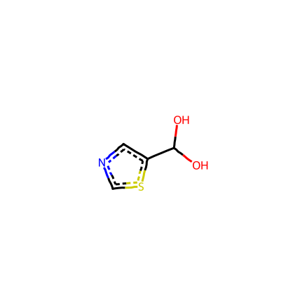 OC(O)c1cncs1